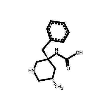 C[C@@H]1CNC[C@](Cc2ccccc2)(NC(=O)O)C1